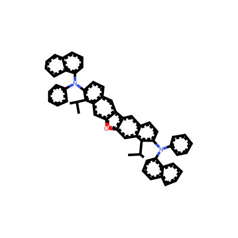 CC(C)c1c(N(c2ccccc2)c2cccc3ccccc23)ccc2cc3c(cc12)oc1cc2c(C(C)C)c(N(c4ccccc4)c4cccc5ccccc45)ccc2cc13